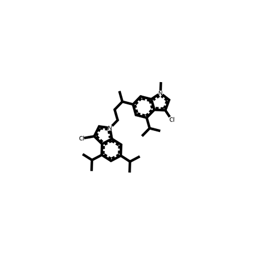 CC(C)c1cc(C(C)C)c2c(Cl)cn(CCC(C)c3cc(C(C)C)c4c(Cl)cn(C)c4c3)c2c1